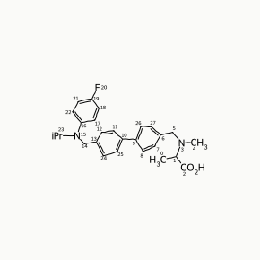 CC(C(=O)O)N(C)Cc1ccc(-c2ccc(CN(c3ccc(F)cc3)C(C)C)cc2)cc1